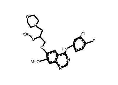 COc1cc2ncnc(Nc3ccc(F)c(Cl)c3)c2cc1OCC(CN1CCOCC1)OC(C)(C)C